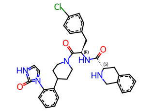 O=C(N[C@H](Cc1ccc(Cl)cc1)C(=O)N1CCC(c2ccccc2-n2cc[nH]c2=O)CC1)[C@@H]1Cc2ccccc2CN1